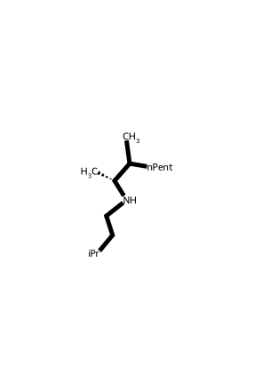 CCCCCC(C)[C@@H](C)NCCC(C)C